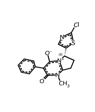 Cn1c2[n+](c([O-])c(-c3ccccc3)c1=O)[C@H](c1cnc(Cl)s1)CC2